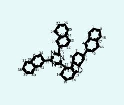 c1ccc2cc(-c3ccc4c(c3)oc3cccc(-c5nc(-c6ccc7ccccc7c6)nc(-c6ccc7ccccc7c6)n5)c34)ccc2c1